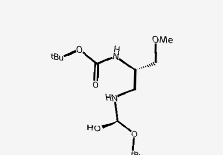 COC[C@H](CN[C@H](O)OC(C)(C)C)NC(=O)OC(C)(C)C